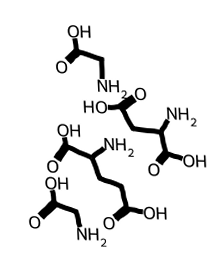 NC(CC(=O)O)C(=O)O.NC(CCC(=O)O)C(=O)O.NCC(=O)O.NCC(=O)O